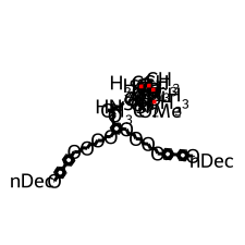 CCCCCCCCCCOc1ccc(-c2ccc(OCCOCCOCCOc3cc(COC(=O)NCC[SiH2]O[Si]45O[Si](C)(OC)O[Si]6(C)O[Si]7(C)O[SiH](C)O[Si](C)(O[Si](C)(O7)O[Si](C)(O6)O4)O5)cc(OCCOCCOCCOc4ccc(-c5ccc(OCCCCCCCCCC)cc5)cc4)c3)cc2)cc1